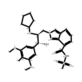 COc1cc([C@@H](O)[C@H](Cn2cc3cccc(C(=O)NS(C)(=O)=O)c3n2)OC2CCCC2)cc(OC)c1C